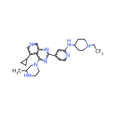 CC1CN(c2nc(-c3ccnc(NC4CCN(CC(F)(F)F)CC4)c3)nc3cncc(C4CC4)c23)CCN1